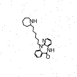 O=C1Nc2cccnc2N(CCCCCCC2CCCCCN2)c2ccccc21